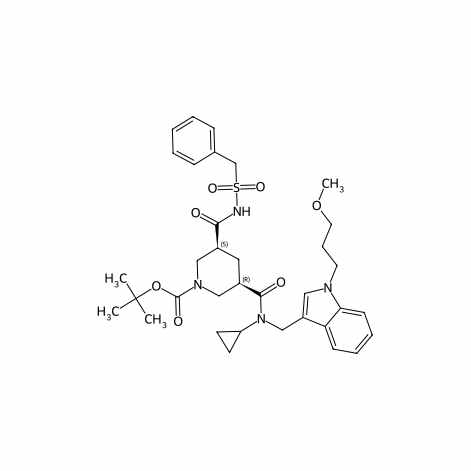 COCCCn1cc(CN(C(=O)[C@@H]2C[C@H](C(=O)NS(=O)(=O)Cc3ccccc3)CN(C(=O)OC(C)(C)C)C2)C2CC2)c2ccccc21